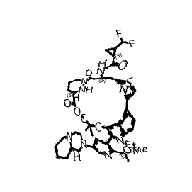 CCn1c(-c2cc(N3CCN4CCCC[C@@H]4C3)cnc2[C@H](C)OC)c2c3cc(ccc31)-c1csc(n1)C[C@H](NC(=O)[C@H]1CC1C(F)F)C(=O)N1CCC[C@H](N1)C(=O)OCC(C)(C)C2